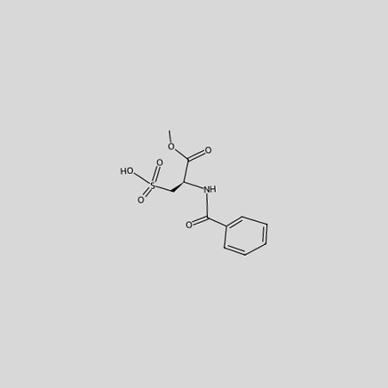 COC(=O)[C@H](CS(=O)(=O)O)NC(=O)c1ccccc1